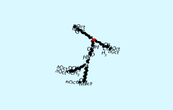 CCCCCCCCC(CCCCCCCC)OC(=O)CCCCCCCN(CCCCCCC(C)(C)C(=O)OC(CCCCCCCC)CCCCCCCC)CCCNC(=O)CCC(=O)NCCCN(CCCCCCCC(=O)OC(CCCCCCCC)CCCCCCCC)CCCCCCC(C)(C)C(=O)OC(CCCCCCCC)CCCCCCCC